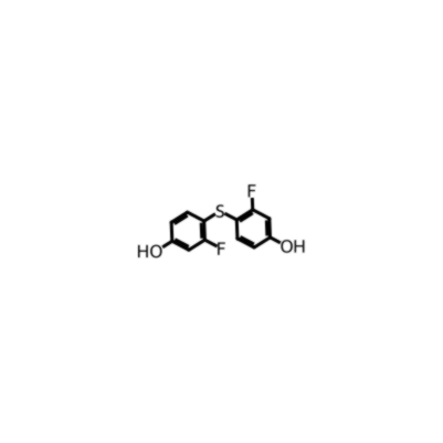 Oc1ccc(Sc2ccc(O)cc2F)c(F)c1